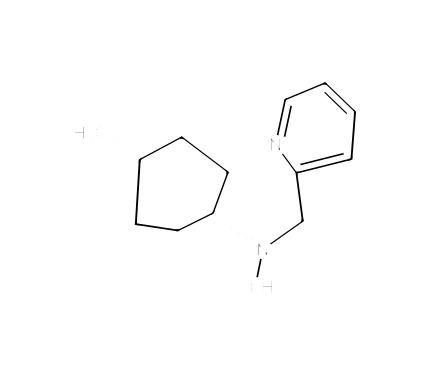 CN(Cc1ccccn1)[C@H]1CC[C@@H](C)CC1